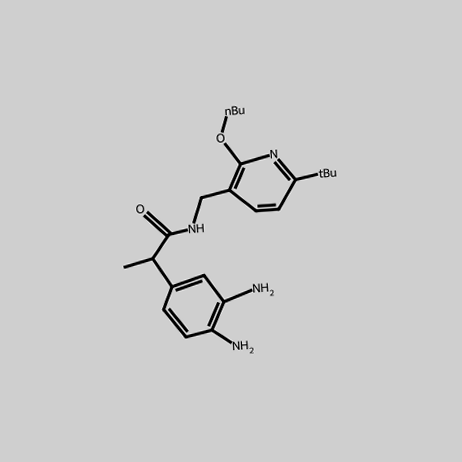 CCCCOc1nc(C(C)(C)C)ccc1CNC(=O)C(C)c1ccc(N)c(N)c1